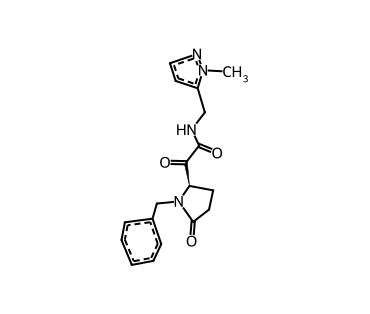 Cn1nccc1CNC(=O)C(=O)[C@H]1CCC(=O)N1Cc1ccccc1